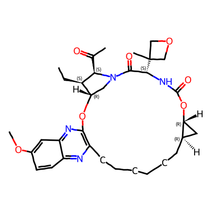 CC[C@@H]1[C@@H]2CN(C(=O)[C@H](C3(C)COC3)NC(=O)O[C@@H]3C[C@H]3CCCCCCc3nc4ccc(OC)cc4nc3O2)[C@@H]1C(C)=O